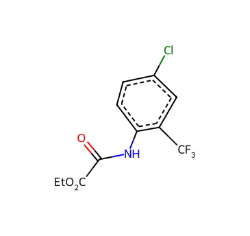 CCOC(=O)C(=O)Nc1ccc(Cl)cc1C(F)(F)F